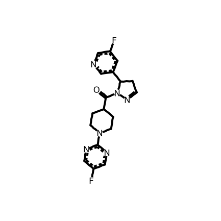 O=C(C1CCN(c2ncc(F)cn2)CC1)N1N=CCC1c1cncc(F)c1